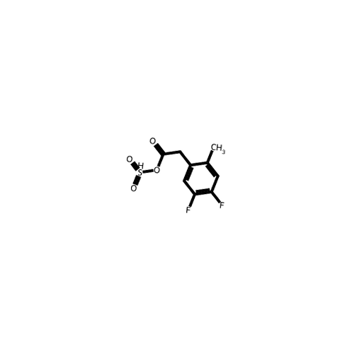 Cc1cc(F)c(F)cc1CC(=O)O[SH](=O)=O